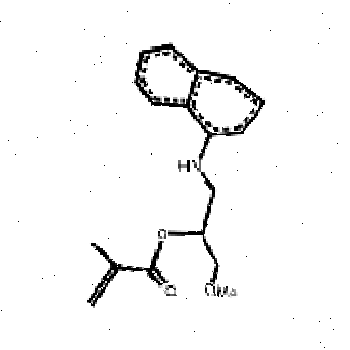 C=C(C)C(=O)OC(CNc1cccc2ccccc12)COC